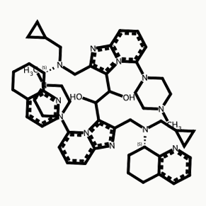 CN1CCN(c2cccc3nc(CN(CC4CC4)[C@H]4CCCc5cccnc54)c(C(O)C(O)c4c(CN(CC5CC5)[C@H]5CCCc6cccnc65)nc5cccc(N6CCN(C)CC6)n45)n23)CC1